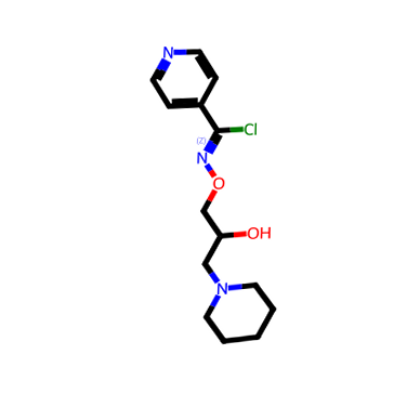 OC(CO/N=C(\Cl)c1ccncc1)CN1CCCCC1